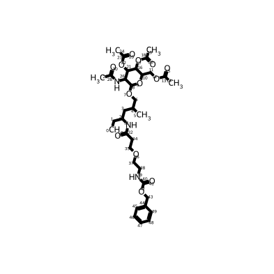 CCC(CC(C)COC1OC(COC(C)=O)C(OC(C)=O)C(OC(C)=O)C1NC(C)=O)NC(=O)CCOCCNC(=O)OCc1ccccc1